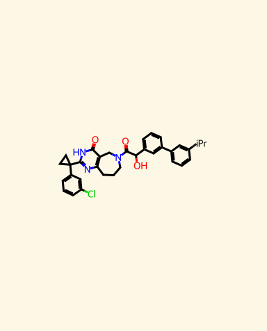 CC(C)c1cccc(-c2cccc(C(O)C(=O)N3CCCc4nc(C5(c6cccc(Cl)c6)CC5)[nH]c(=O)c4C3)c2)c1